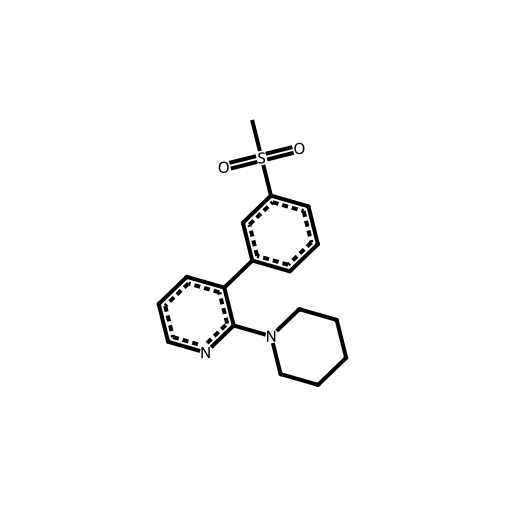 CS(=O)(=O)c1cccc(-c2cccnc2N2CCCCC2)c1